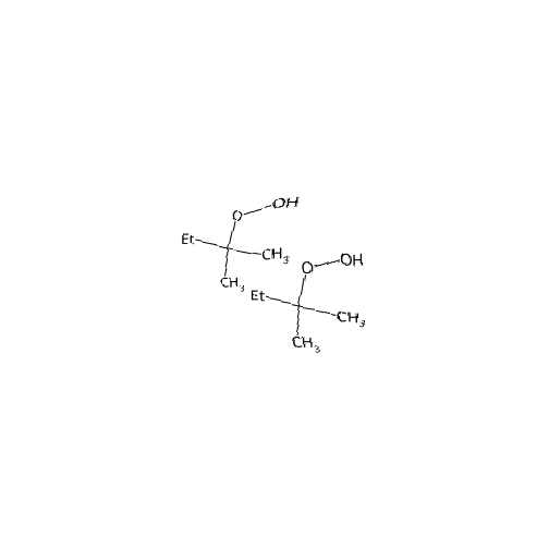 CCC(C)(C)OO.CCC(C)(C)OO